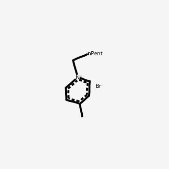 CCCCCC[n+]1ccc(C)cc1.[Br-]